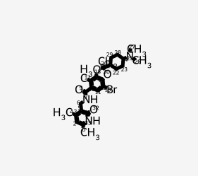 Cc1cc(C)c(CNC(=O)c2cc(Br)c3c(c2C)OC(C)(C2CCC(N(C)C)CC2)O3)c(=O)[nH]1